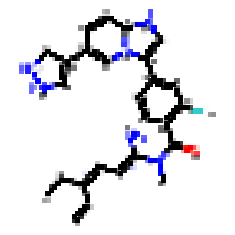 C=C/C(=C\C=C(/N)N(C)C(=O)c1ccc(C2=CNC3C=CC(C4=CNNC4)=CN23)cc1F)CC